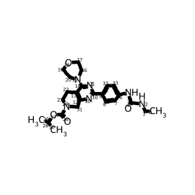 CCNC(=O)Nc1ccc(-c2nc3c(c(N4CCOCC4)n2)CCN(C(=O)OC(C)C)C3)cc1